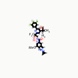 COc1cc(C(=O)NCC(O)(c2cc3c(c(-c4cc(F)c(F)c(F)c4)n2)OCC3(C)C)C(F)(F)F)cc2cn(C3CC3)nc12